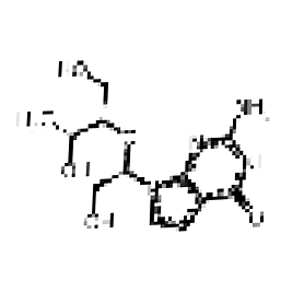 C[C@@H](O)[C@@H](CO)O[C@H](CO)n1ccc2c(=O)[nH]c(N)nc21